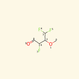 COC(C(F)F)C(F)C=O